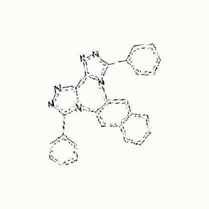 c1ccc(-c2nnc3c4nnc(-c5ccccc5)n4c4cc5ccccc5cc4n23)cc1